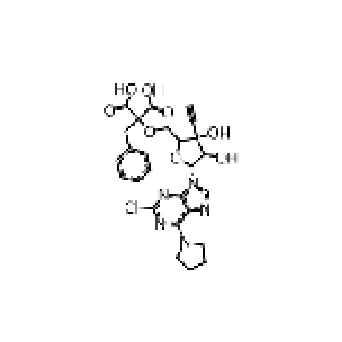 C#C[C@@]1(O)C(COC(Cc2ccccc2)(C(=O)O)C(=O)O)O[C@@H](n2cnc3c(N4CCCC4)nc(Cl)nc32)[C@@H]1O